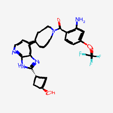 Nc1cc(OC(F)(F)F)ccc1C(=O)N1CCC(c2ccnc3[nH]c([C@H]4C[C@H](O)C4)nc23)CC1